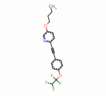 CCCCOc1ccc(C#Cc2ccc(OC(F)(F)C(F)F)cc2)nc1